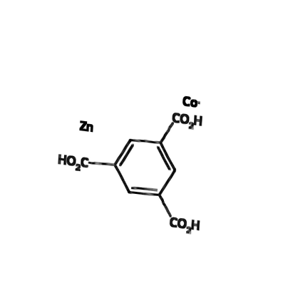 O=C(O)c1cc(C(=O)O)cc(C(=O)O)c1.[Co].[Zn]